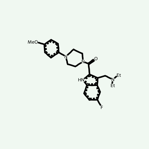 CCN(CC)Cc1c(C(=O)N2CCN(c3ccc(OC)cc3)CC2)[nH]c2ccc(F)cc12